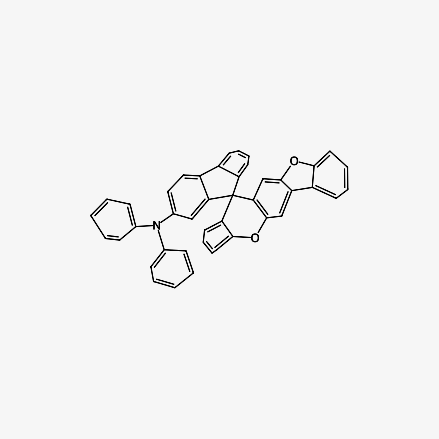 c1ccc(N(c2ccccc2)c2ccc3c(c2)C2(c4ccccc4Oc4cc5c(cc42)oc2ccccc25)c2ccccc2-3)cc1